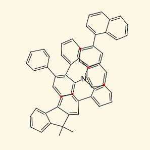 CC1(C)c2ccccc2-c2ccc(-c3ccccc3N(c3ccc(-c4cccc5ccccc45)cc3)c3cccc(-c4ccccc4)c3-c3ccccc3-c3ccccc3)cc21